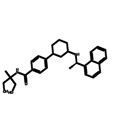 C[C@@H](NC1CCCC(c2ccc(C(=O)NC(C)(CO)CO)cc2)C1)c1cccc2ccccc12